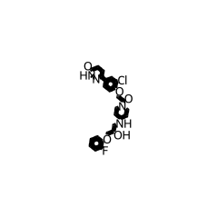 O=C1CCC(c2ccc(OCC(=O)N3CCC(NCC(O)COc4ccccc4F)CC3)c(Cl)c2)=NN1